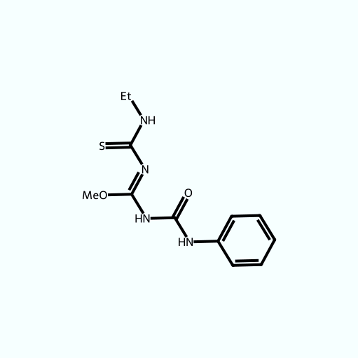 CCNC(=S)N=C(NC(=O)Nc1ccccc1)OC